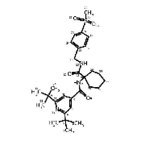 CC(C)(C)c1cc(C(=O)NC2(C(=O)NCc3ccc(S(C)(=O)=O)cc3)CCCCC2)cc(C(C)(C)C)n1